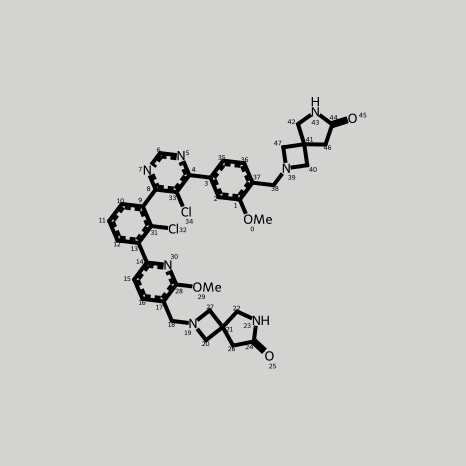 COc1cc(-c2ncnc(-c3cccc(-c4ccc(CN5CC6(CNC(=O)C6)C5)c(OC)n4)c3Cl)c2Cl)ccc1CN1CC2(CNC(=O)C2)C1